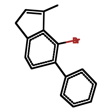 CC1=CCc2ccc(-c3ccccc3)c(Br)c21